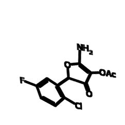 CC(=O)OC1=C(N)OC(c2cc(F)ccc2Cl)C1=O